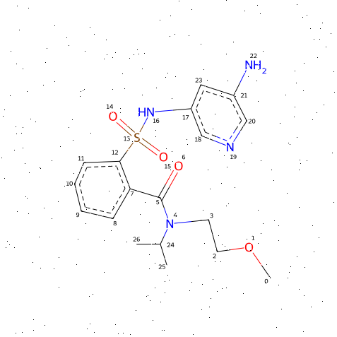 COCCN(C(=O)c1ccccc1S(=O)(=O)Nc1cncc(N)c1)C(C)C